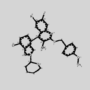 COc1ccc(COc2nc3cc(F)c(Br)cc3c(-c3ccc(Cl)c4nn(C5CCCCO5)cc34)c2N)cc1